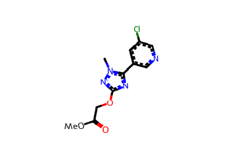 COC(=O)COc1nc(-c2cncc(Cl)c2)n(C)n1